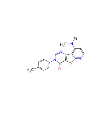 CCN(C)c1ccnc2sc3c(=O)n(-c4ccc(C)cc4)cnc3c12